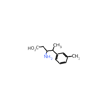 Cc1cccc(C(C)C(N)CC(=O)O)c1